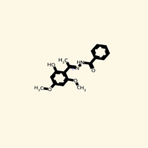 COc1cc(O)c(/C(C)=N/NC(=O)c2ccccc2)c(OC)c1